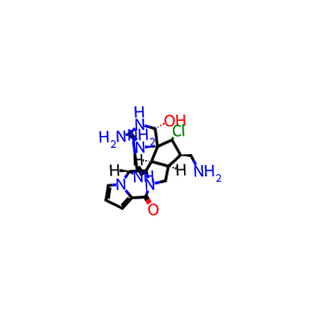 NC[C@H]1[C@H]2CN3C(=O)c4cccn4[C@H]4NC(N)=CC43[C@H]2[C@@]2(N=C(N)N[C@@H]2O)[C@H]1Cl